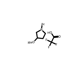 COC1CCN(C(C)=O)C1.O=C(O)C(F)(F)F